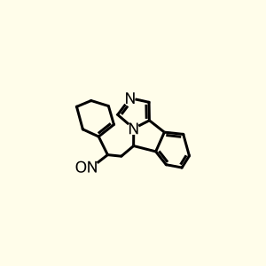 O=NC(CC1c2ccccc2-c2cncn21)C1=CCCCC1